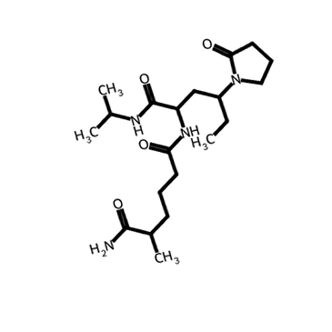 CCC(CC(NC(=O)CCCC(C)C(N)=O)C(=O)NC(C)C)N1CCCC1=O